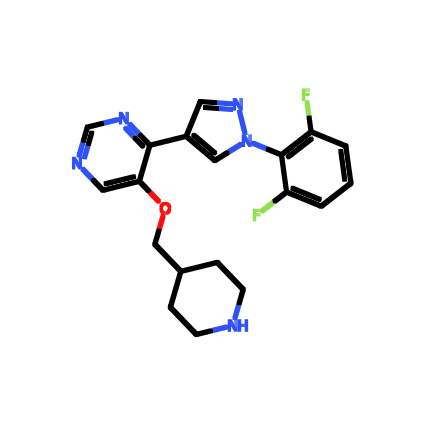 Fc1cccc(F)c1-n1cc(-c2ncncc2OCC2CCNCC2)cn1